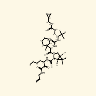 C=CCNC(=O)C(=O)C(CCCC)NC(=O)[C@@H]1[C@@H]2[C@H](CN1C(=O)[C@@H](NC(=O)N[C@H](COC(=O)NCC1CC1)C(C)(C)C)C1(C)CCCCC1)C2(C)C